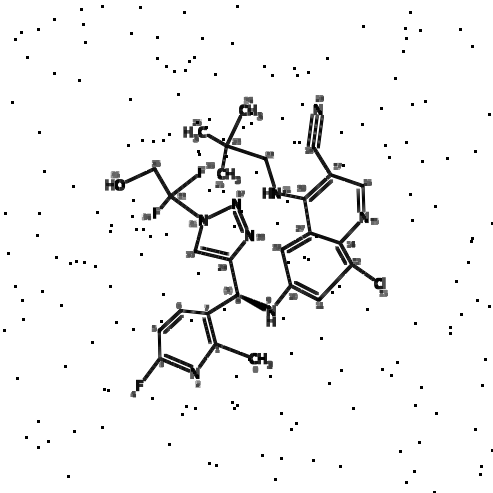 Cc1nc(F)ccc1[C@H](Nc1cc(Cl)c2ncc(C#N)c(NCC(C)(C)C)c2c1)c1cn(C(F)(F)CO)nn1